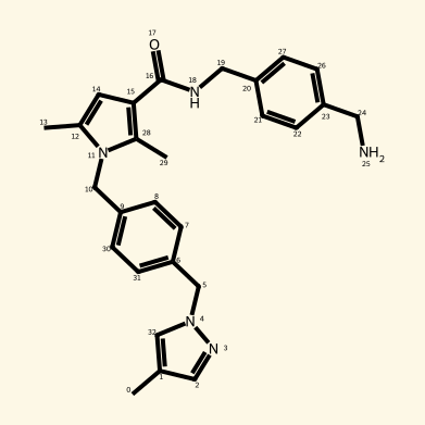 Cc1cnn(Cc2ccc(Cn3c(C)cc(C(=O)NCc4ccc(CN)cc4)c3C)cc2)c1